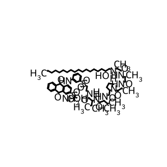 CCCCCCCCCCCCCCCCC(O)CNC(C)C(=O)NC(C)C(=O)NC(C)C(=O)N1CCCC1C(=O)NC(C(=O)NC(C(=O)NCCS(=O)(=O)c1cccc(Nc2cc(S(=O)(=O)O)c(N)c3c2C(=O)c2ccccc2C3=O)c1)C(C)C)C(C)C